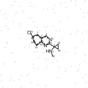 CNC1(c2ncc3cc(Cl)ccc3n2)CC1